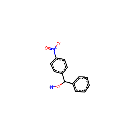 [N]O[C](c1ccccc1)c1ccc([N+](=O)[O-])cc1